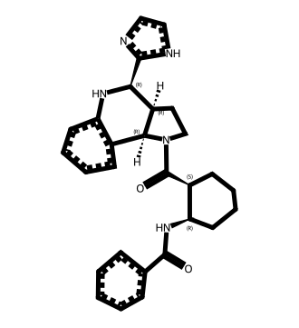 O=C(N[C@@H]1CCCC[C@@H]1C(=O)N1CC[C@@H]2[C@H](c3ncc[nH]3)Nc3ccccc3[C@@H]21)c1ccccc1